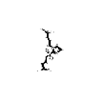 O=S(=O)(CCC=C(F)F)c1nccn1CCC=C(F)F